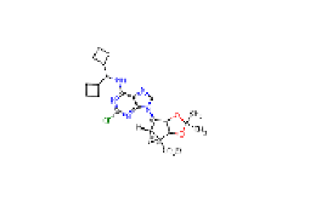 CCOC(=O)[C@@]12C[C@@H]1[C@@H](n1cnc3c(NC(C4CCC4)C4CCC4)nc(Cl)nc31)C1OC(C)(C)OC12